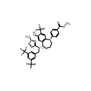 COC(=O)c1ccc(N2CCC[C@H](N(Cc3cc(C(F)(F)F)cc(C(F)(F)F)c3)c3nnn(C)n3)c3cc(C)c(C(F)(F)F)cc32)cc1